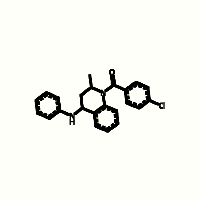 CC1CC(Nc2ccccc2)c2ccccc2N1C(=O)c1ccc(Cl)cc1